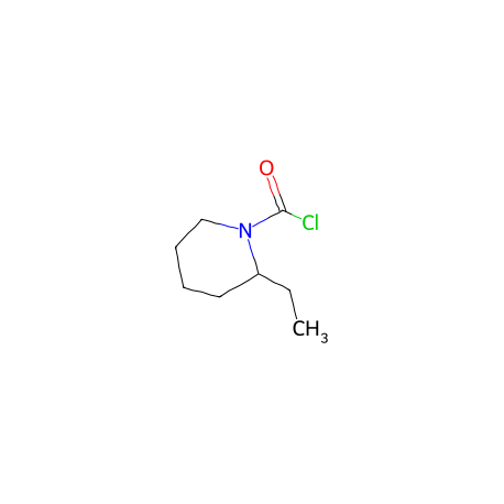 CCC1CCCCN1C(=O)Cl